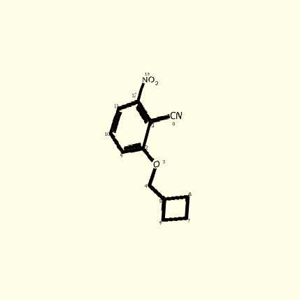 N#Cc1c(OCC2CCC2)cccc1[N+](=O)[O-]